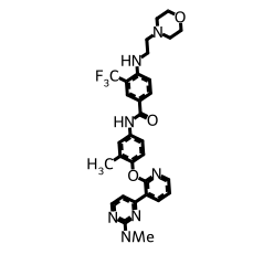 CNc1nccc(-c2cccnc2Oc2ccc(NC(=O)c3ccc(NCCN4CCOCC4)c(C(F)(F)F)c3)cc2C)n1